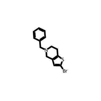 Brc1cc2c(s1)CCN(Cc1ccccc1)C2